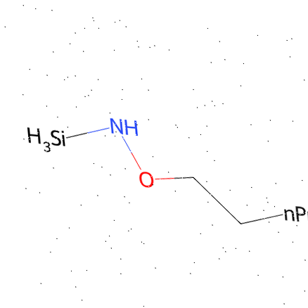 CCCCCON[SiH3]